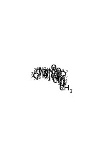 CN1CCN(c2cccc(OCC(=O)NC[C@H](CN3CCc4ccccc4C3)N3CCC3)c2S(=O)(=O)N(C)C)CC1